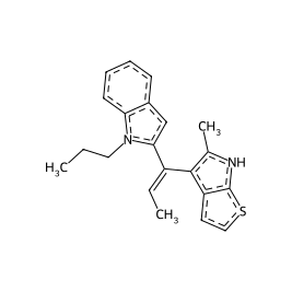 C/C=C(\c1c(C)[nH]c2sccc12)c1cc2ccccc2n1CCC